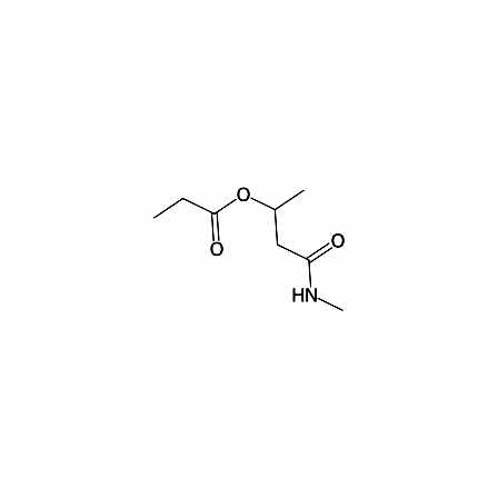 CCC(=O)OC(C)CC(=O)NC